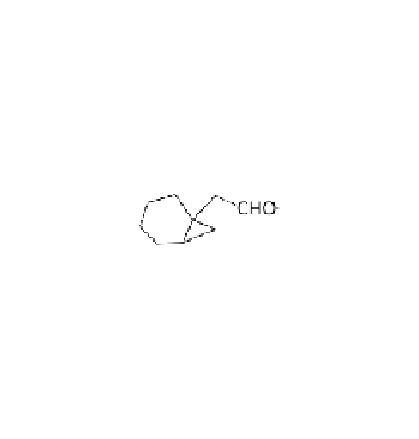 O=[C]CC12CCCCC1C2